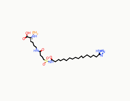 O=C(CCCS(=O)(=O)NC(=O)CCCCCCCCCCCCCCCc1nnn[nH]1)NCCCC[C@H](NP)C(=O)O